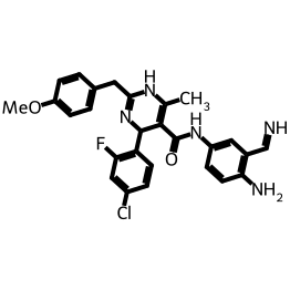 COc1ccc(CC2=NC(c3ccc(Cl)cc3F)C(C(=O)Nc3ccc(N)c(C=N)c3)=C(C)N2)cc1